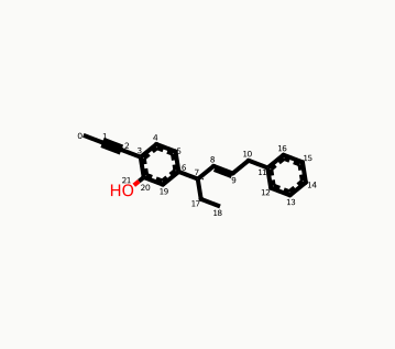 CC#Cc1ccc([C](C=CCc2ccccc2)CC)cc1O